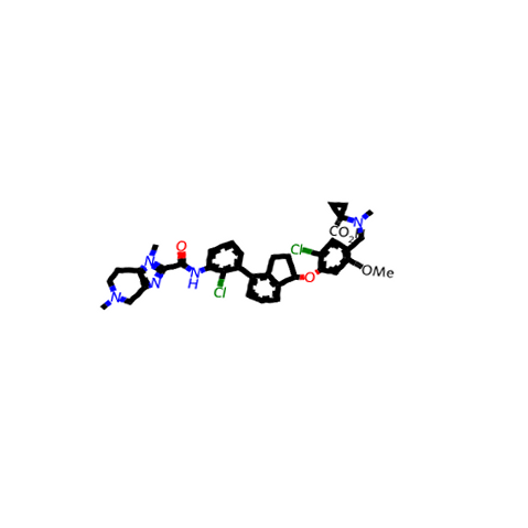 COc1cc(OC2CCc3c(-c4cccc(NC(=O)c5nc6c(n5C)CCN(C)C6)c4Cl)cccc32)c(Cl)cc1CN(C)C1(C(=O)O)CC1